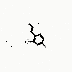 CC=Cc1ccc(F)cc1C(F)(F)F